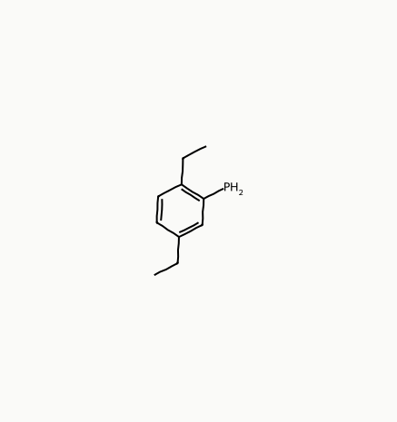 CCc1ccc(CC)c(P)c1